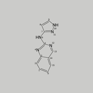 c1ccc2nc(Nc3cc[nH]n3)ncc2c1